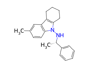 Cc1ccc2c(c1)c1c(n2N[C@@H](C)c2ccccc2)CCCC1